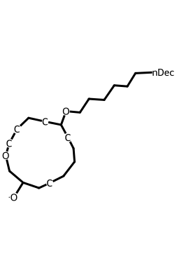 [CH2]CCCCCCCCCCCCCCCOC1CCCCCCC([O])COCCCC1